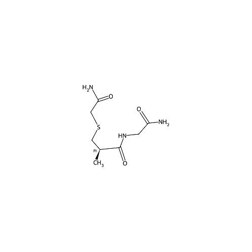 C[C@@H](CSCC(N)=O)C(=O)NCC(N)=O